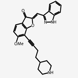 COc1ccc2c(c1C#CCCC1CCNCC1)OC(=Cc1n[nH]c3ccccc13)C2=O